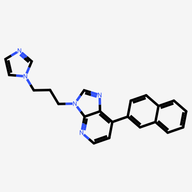 c1ccc2cc(-c3ccnc4c3ncn4CCCn3ccnc3)ccc2c1